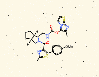 COc1ccc(-c2sc(C)nc2C(=O)N2C[C@@H]3CCC[C@@H]3[C@H]2CNC(=O)Oc2c(C)nc3sccn23)cc1